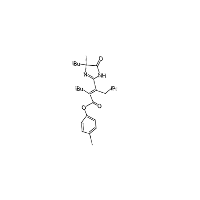 CCC(C)/C(C(=O)Oc1ccc(C)cc1)=C(/CC(C)C)C1=NC(C)(C(C)CC)C(=O)N1